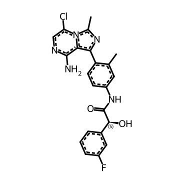 Cc1cc(NC(=O)[C@@H](O)c2cccc(F)c2)ccc1-c1nc(C)n2c(Cl)cnc(N)c12